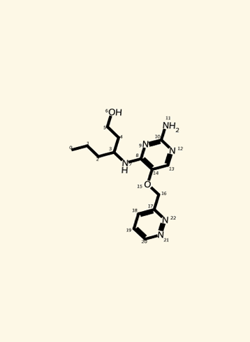 CCCC(CCO)Nc1nc(N)ncc1OCc1cccnn1